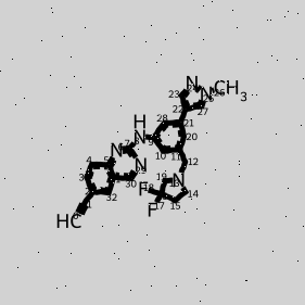 C#Cc1ccc2nc(Nc3cc(CN4CCC(F)(F)C4)cc(-c4cnn(C)c4)c3)ncc2c1